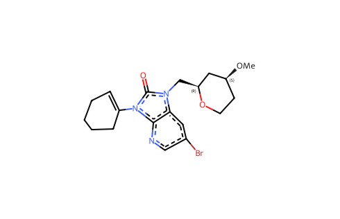 CO[C@H]1CCO[C@@H](Cn2c(=O)n(C3=CCCCC3)c3ncc(Br)cc32)C1